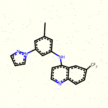 Cc1cc(Nc2ccnc3ccc(C(F)(F)F)cc23)cc(-n2cccn2)c1